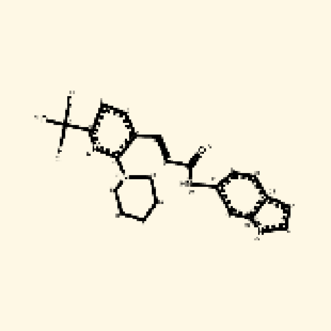 O=C(/C=C/c1ccc(C(F)(F)F)nc1N1CCCCC1)Nc1ccc2cc[nH]c2c1